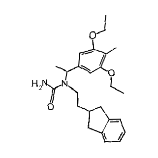 CCOc1cc(C(C)N(CCC2Cc3ccccc3C2)C(N)=O)cc(OCC)c1C